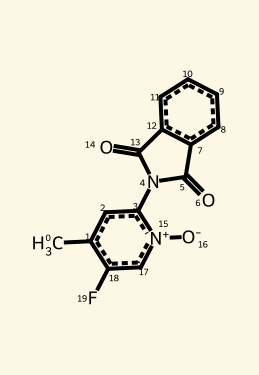 Cc1cc(N2C(=O)c3ccccc3C2=O)[n+]([O-])cc1F